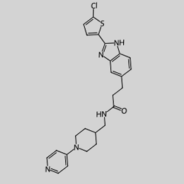 O=C(CCc1ccc2[nH]c(-c3ccc(Cl)s3)nc2c1)NCC1CCN(c2ccncc2)CC1